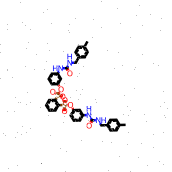 Cc1ccc(CNC(=O)Nc2cccc(OS(=O)(=O)c3ccccc3S(=O)(=O)Oc3cccc(NC(=O)NCc4ccc(C)cc4)c3)c2)cc1